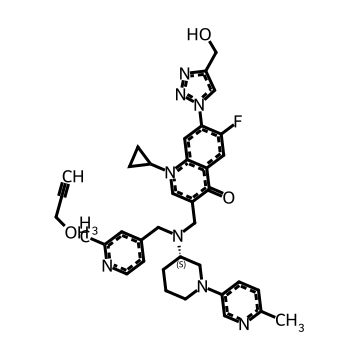 C#CCO.Cc1ccc(N2CCC[C@H](N(Cc3ccnc(C)c3)Cc3cn(C4CC4)c4cc(-n5cc(CO)nn5)c(F)cc4c3=O)C2)cn1